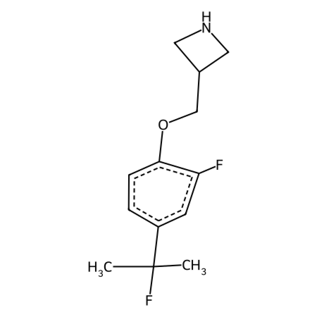 CC(C)(F)c1ccc(OCC2CNC2)c(F)c1